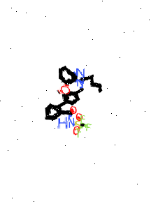 CCCCc1nc2cccc(OC)c2n1Cc1ccc(-c2ccccc2C(=O)NS(=O)(=O)C(F)(F)F)cc1